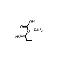 CCC(O)OC(=O)O.[CaH2]